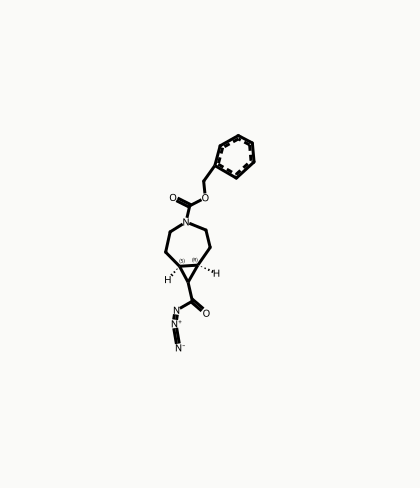 [N-]=[N+]=NC(=O)C1[C@H]2CCN(C(=O)OCc3ccccc3)CC[C@@H]12